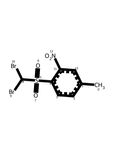 Cc1ccc(S(=O)(=O)C(Br)Br)c([N+](=O)[O-])c1